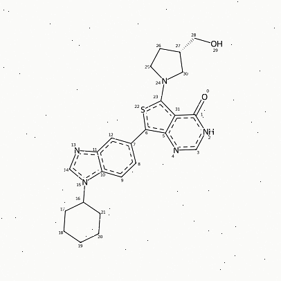 O=c1[nH]cnc2c(-c3ccc4c(c3)ncn4C3CCCCC3)sc(N3CC[C@H](CO)C3)c12